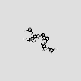 CC(=O)c1cc(Cl)c(OCc2cccc(-c3cccc(COc4cc(OCc5cncc(C#N)c5)c(CN[C@@](C)(CO)C(=O)O)cc4Cl)c3Cl)c2Cl)cc1OCc1cncc(C#N)c1